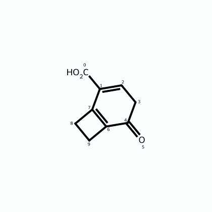 O=C(O)C1=CCC(=O)C2=C1CC2